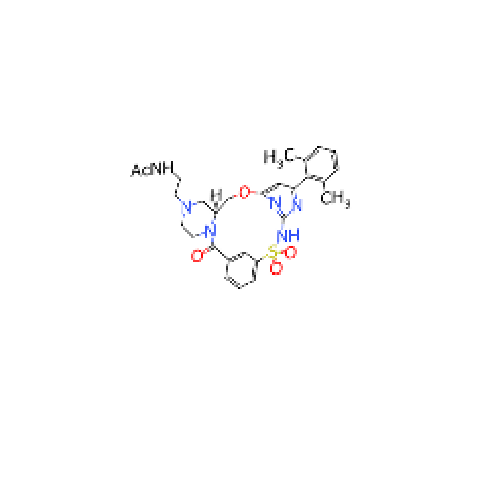 CC(=O)NCCN1CCN2C(=O)c3cccc(c3)S(=O)(=O)Nc3nc(cc(-c4c(C)cccc4C)n3)OC[C@H]2C1